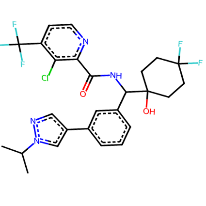 CC(C)n1cc(-c2cccc(C(NC(=O)c3nccc(C(F)(F)F)c3Cl)C3(O)CCC(F)(F)CC3)c2)cn1